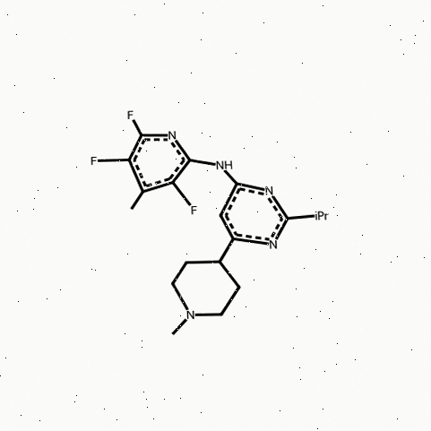 Cc1c(F)c(F)nc(Nc2cc(C3CCN(C)CC3)nc(C(C)C)n2)c1F